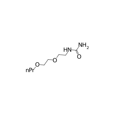 CCCOCCOCCNC(N)=O